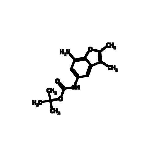 Cc1oc2c(N)cc(NC(=O)OC(C)(C)C)cc2c1C